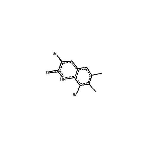 Cc1cc2cc(Br)c(=O)[nH]c2c(Br)c1C